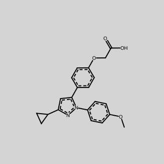 COc1ccc(-n2nc(C3CC3)cc2-c2ccc(OCC(=O)O)cc2)cc1